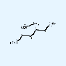 CC(=O)ON.CCCCCCCCCCCCOC(C)=O